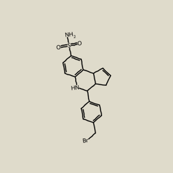 NS(=O)(=O)c1ccc2c(c1)C1C=CCC1C(c1ccc(CBr)cc1)N2